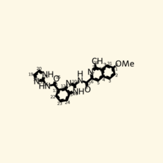 COc1ccc2cc(C(=O)Nc3nc4c(C(=O)Nc5ncc[nH]5)cccc4[nH]3)nc(C)c2c1